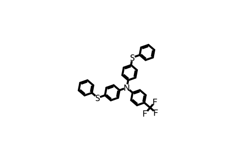 FC(F)(F)c1ccc(N(c2ccc(Sc3ccccc3)cc2)c2ccc(Sc3ccccc3)cc2)cc1